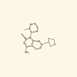 Cc1ncccc1-n1c(=O)nc(N)c2ccc(C3CCOC3)nc21